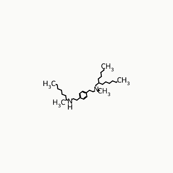 CCCCCCC(CCCCC)CN(C)CCc1ccc(CCNC(C)CCCCCC)cc1